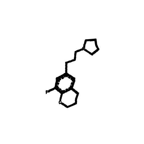 Fc1cc(CCCN2CCCC2)cc2c1OCCC2